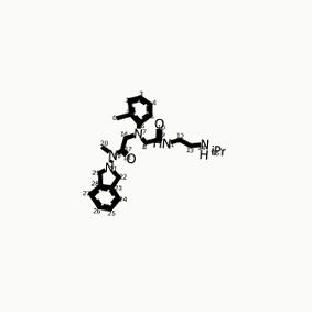 Cc1ccccc1N(CC(=O)NCCNC(C)C)CC(=O)N(C)N1Cc2ccccc2C1